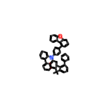 CC1(C)c2ccc(N(c3ccc(-c4cccc5oc6ccccc6c45)cc3)c3ccccc3-c3ccccc3)cc2-c2c(-c3ccccc3)cccc21